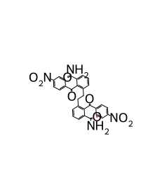 NC(=O)c1cccc(CCc2cccc(C(N)=O)c2C(=O)c2ccc([N+](=O)[O-])cc2)c1C(=O)c1ccc([N+](=O)[O-])cc1